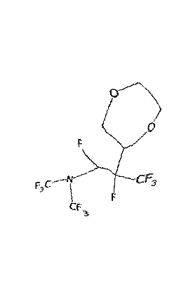 FC(N(C(F)(F)F)C(F)(F)F)C(F)(C1COCCO1)C(F)(F)F